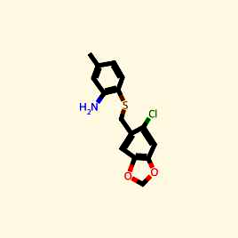 Cc1ccc(SCc2cc3c(cc2Cl)OCO3)c(N)c1